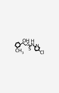 Cc1cccc(C(O)CSC(=S)Nc2ccc(Cl)cn2)c1